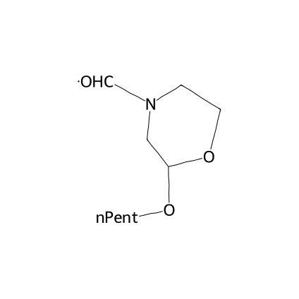 CCCCCOC1CN([C]=O)CCO1